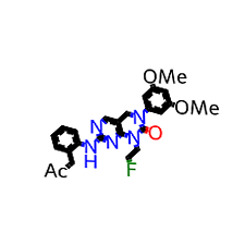 COc1cc(OC)cc(N2Cc3cnc(Nc4ccccc4CC(C)=O)nc3N(CCF)C2=O)c1